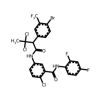 CC(Cl)(Cl)C(C(=O)Nc1ccc(Cl)c(C(=O)Nc2ccc(F)cc2F)c1)c1ccc(Br)c(C(F)(F)F)c1